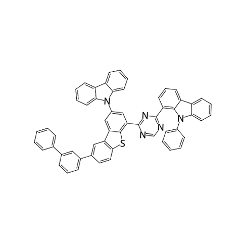 c1ccc(-c2cccc(-c3ccc4sc5c(-c6ncnc(-c7cccc8c9ccccc9n(-c9ccccc9)c78)n6)cc(-n6c7ccccc7c7ccccc76)cc5c4c3)c2)cc1